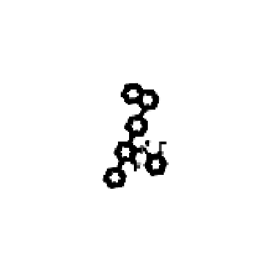 CN(c1ccccc1F)c1c(-c2ccc(-c3cccc4ccccc34)cc2)ccc(-c2ccccc2)c1F